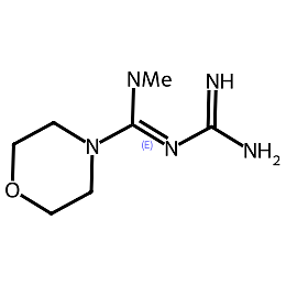 CN/C(=N\C(=N)N)N1CCOCC1